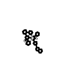 c1ccc(-c2ccccc2-c2cc(-c3nc(-c4ccc(-c5ccc6ccccc6c5)cc4)c4sc5ccccc5c4n3)c3c(c2)oc2ccccc23)cc1